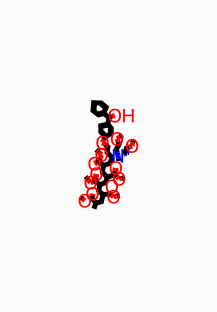 COCC[N+](C)(CCOC)C(CCOc1ccc(C(O)c2ccccc2)cc1)CC(CC(CC(CC(CC(C)C(=O)OC)C(=O)OC)C(=O)OC)C(=O)OC)C(=O)OC